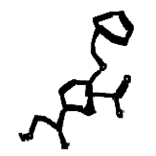 O=[N+]([O-])c1cc([C@@H](Br)CO)ccc1OCc1ccccc1